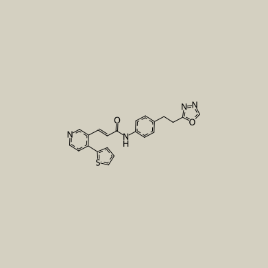 O=C(/C=C/c1cnccc1-c1cccs1)Nc1ccc(CCc2nnco2)cc1